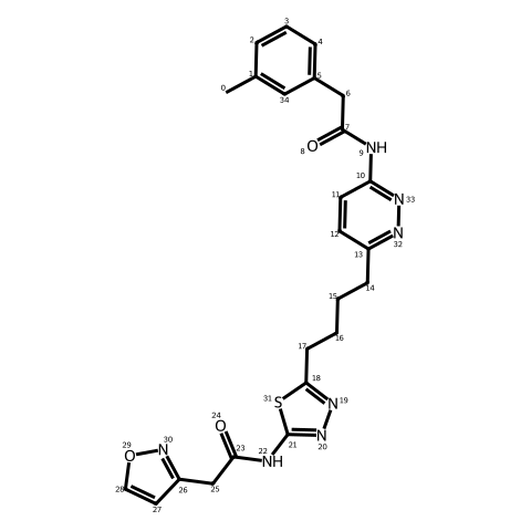 Cc1cccc(CC(=O)Nc2ccc(CCCCc3nnc(NC(=O)Cc4ccon4)s3)nn2)c1